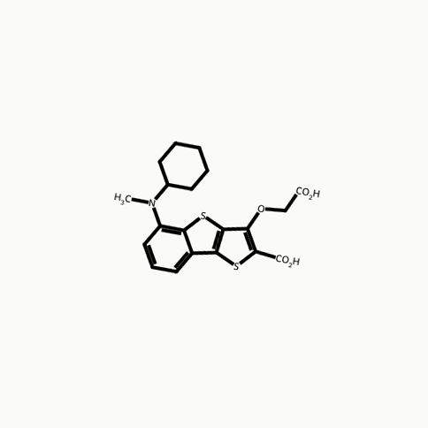 CN(c1cccc2c1sc1c(OCC(=O)O)c(C(=O)O)sc12)C1CCCCC1